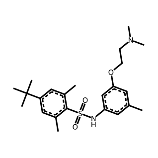 Cc1cc(NS(=O)(=O)c2c(C)cc(C(C)(C)C)cc2C)cc(OCCN(C)C)c1